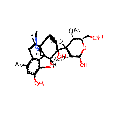 CC(=O)O[C@@H]1[C@@H](CO)O[C@@H](O)[C@H](OC(C)=O)[C@]1(OC(C)=O)[C@@]1(O)C=C[C@H]2[C@H]3Cc4c(C(C)=O)cc(O)c5c4[C@@]2(CCN3C)[C@H]1O5